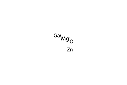 [Ga].[Mg].[O].[Zn]